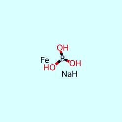 OB(O)O.[Fe].[NaH]